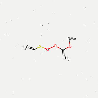 C=CSOOC(=C)ONC